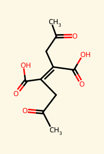 CC(=O)CC(C(=O)O)=C(CC(C)=O)C(=O)O